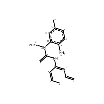 C=C/N=C(\C=C/C)NC(=C)N(CCCCCC)c1nc(C)ccc1N